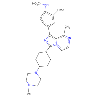 COc1cc(-c2nc(C3CCC(N4CCN(C(C)=O)CC4)CC3)n3ccnc(C)c23)ccc1NC(=O)O